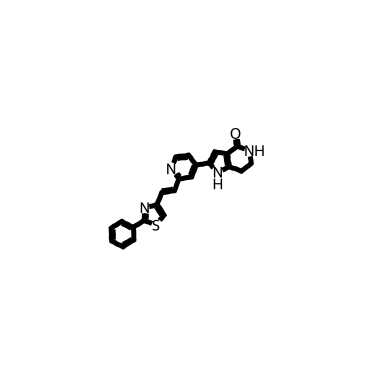 O=C1NCCc2[nH]c(-c3ccnc(C=Cc4csc(-c5ccccc5)n4)c3)cc21